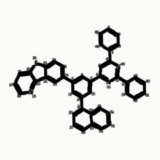 c1ccc(-c2cc(-c3cc(-c4ccc5sc6cccnc6c5c4)cc(-c4cccc5ccccc45)c3)nc(-c3ccccc3)n2)cc1